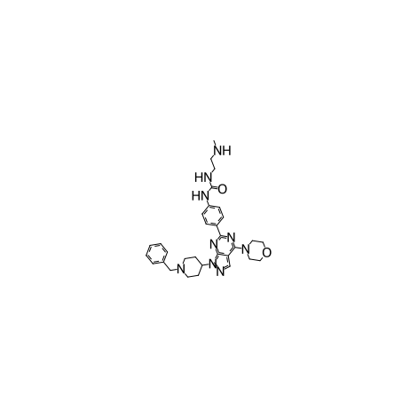 CNCCNC(=O)Nc1ccc(-c2nc(N3CCOCC3)c3cnn(C4CCN(Cc5ccccc5)CC4)c3n2)cc1